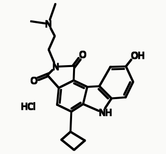 CN(C)CCN1C(=O)c2cc(C3CCC3)c3[nH]c4ccc(O)cc4c3c2C1=O.Cl